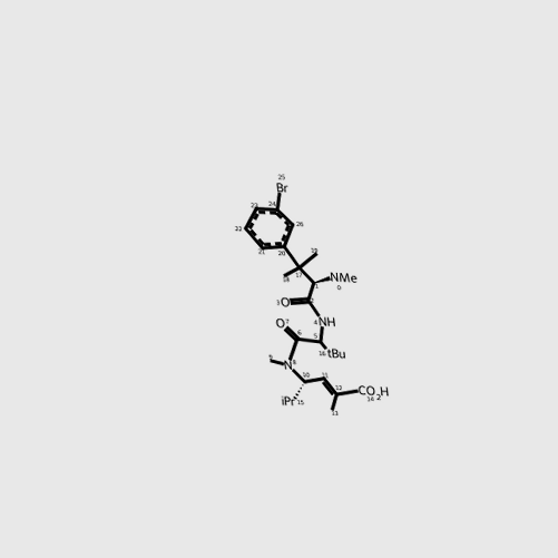 CN[C@@H](C(=O)NC(C(=O)N(C)[C@H](/C=C(\C)C(=O)O)C(C)C)C(C)(C)C)C(C)(C)c1cccc(Br)c1